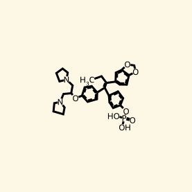 CCC(=C(c1ccc(OC(CN2CCCC2)CN2CCCC2)cc1)c1ccc(OP(=O)(O)O)cc1)c1ccc2c(c1)OCO2